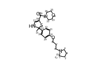 C[C@H]1CCCN1CCCOc1ccc(C2(C)NC=C(C(=O)N3CCOCC3)S2)cc1